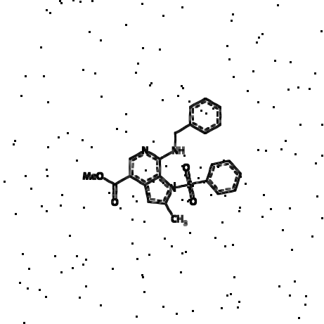 COC(=O)c1cnc(NCc2ccccc2)c2c1cc(C)n2S(=O)(=O)c1ccccc1